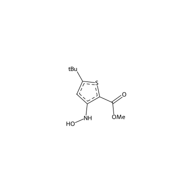 COC(=O)c1sc(C(C)(C)C)cc1NO